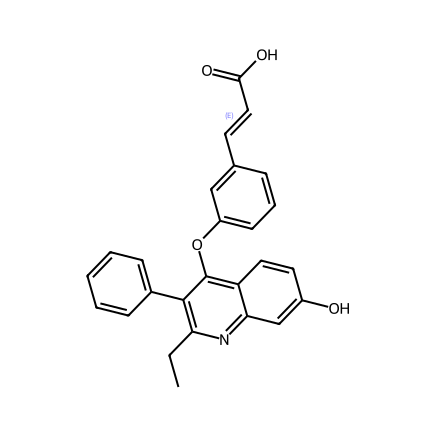 CCc1nc2cc(O)ccc2c(Oc2cccc(/C=C/C(=O)O)c2)c1-c1ccccc1